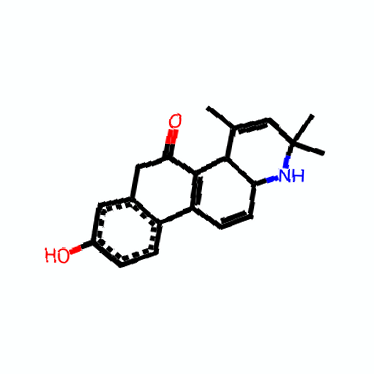 CC1=CC(C)(C)NC2C=CC3=C(C(=O)Cc4cc(O)ccc43)C12